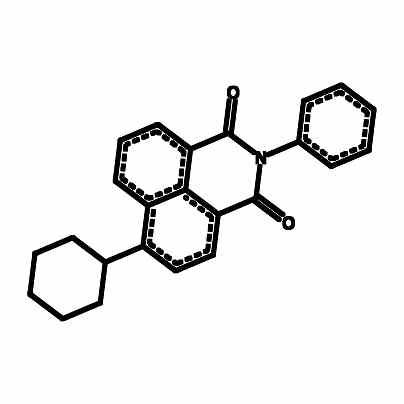 O=C1c2cccc3c(C4CCCCC4)ccc(c23)C(=O)N1c1ccccc1